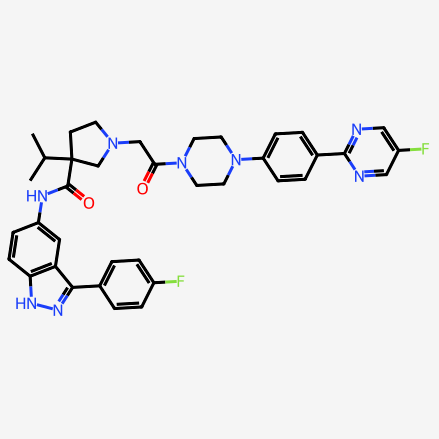 CC(C)C1(C(=O)Nc2ccc3[nH]nc(-c4ccc(F)cc4)c3c2)CCN(CC(=O)N2CCN(c3ccc(-c4ncc(F)cn4)cc3)CC2)C1